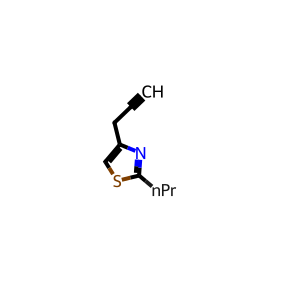 C#CCc1csc(CCC)n1